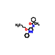 CCCCOc1c/c(=N\C(=O)C2(C)CCCCC2)cnn1-c1ccccc1